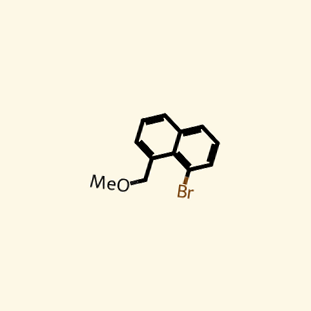 COCc1cccc2cccc(Br)c12